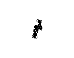 CC(CS(C)(=O)=O)c1cc(-c2cccc(-c3ccc(-c4ccc(S(C)(=O)=O)cc4)nc3O)c2)c2ncccc2c1